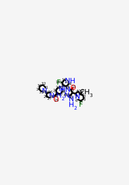 CC12CCC(F)CN1C(C(C(=O)NC1CNCC(F)C1N1CCC(C(=O)N3CCC(N4CCCCC4)C3)CC1)C(N)N)C2